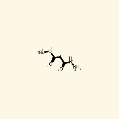 CC(C)(C)OC(=O)CC(=O)NN